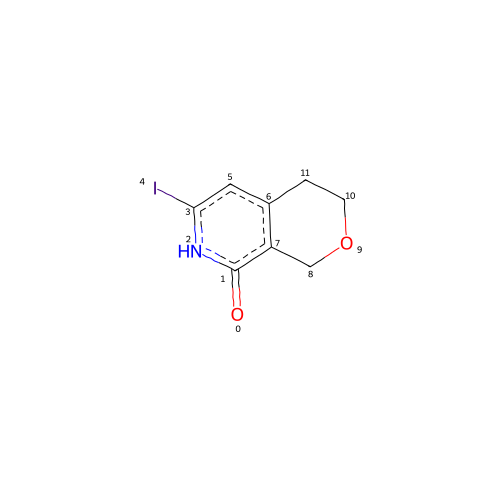 O=c1[nH]c(I)cc2c1COCC2